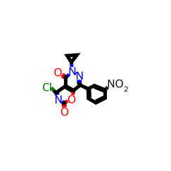 O=c1nc(Cl)c2c(=O)n(C3CC3)nc(-c3cccc([N+](=O)[O-])c3)c2o1